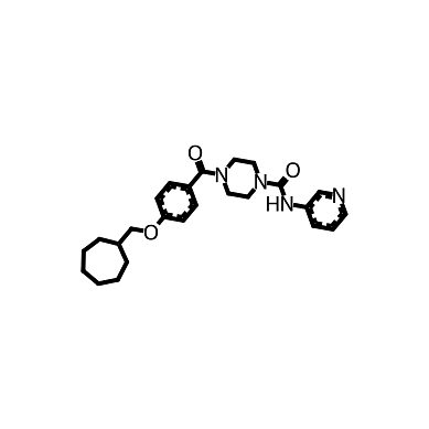 O=C(Nc1cccnc1)N1CCN(C(=O)c2ccc(OCC3CCCCCC3)cc2)CC1